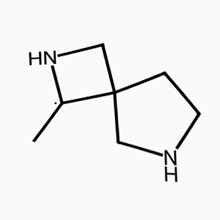 C[C]1NCC12CCNC2